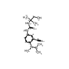 CN(C)N(C)c1ccc(NC(=S)NC(C)(C)CO)cc1C#N